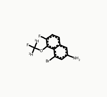 [2H]C([2H])(F)Oc1c(F)ccc2cc(N)cc(Br)c12